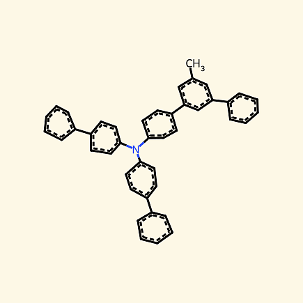 Cc1cc(-c2ccccc2)cc(-c2ccc(N(c3ccc(-c4ccccc4)cc3)c3ccc(-c4ccccc4)cc3)cc2)c1